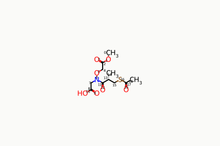 COC(=O)CON(CC(=O)O)C(=O)[C@H](C)CSC(C)=O